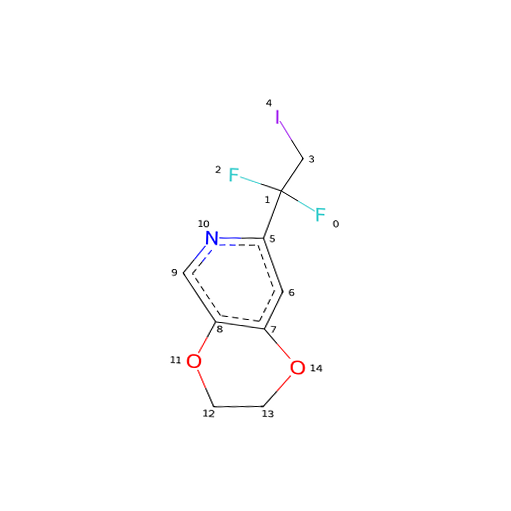 FC(F)(CI)c1cc2c(cn1)OCCO2